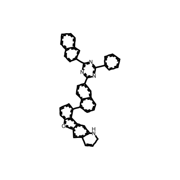 C1=Cc2cc3oc4cccc(-c5cccc6cc(-c7nc(-c8ccccc8)nc(-c8ccc9ccccc9c8)n7)ccc56)c4c3cc2NC1